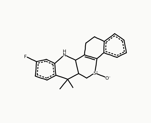 CC1(C)c2ccc(F)cc2NC2C3=C(c4ccccc4CC3)[S+]([O-])CC21